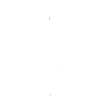 CC(C)(C)Cc1ncc(CC(C)(C)Cc2nccs2)o1